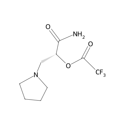 NC(=O)[C@@H](CN1CCCC1)OC(=O)C(F)(F)F